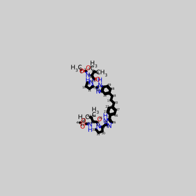 COC(=O)N[C@H](C(=O)N1CCC[C@H]1c1nc2cc(CCCc3ccc(-c4cnc(C5CCCN5C(=O)[C@@H](NC5OCO5)C(C)C)[nH]4)cc3)ccc2[nH]1)C(C)C